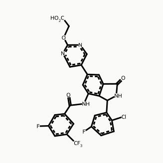 O=C(O)COc1ncc(-c2cc(NC(=O)c3cc(F)cc(C(F)(F)F)c3)c3c(c2)C(=O)NC3c2cc(F)ccc2Cl)cn1